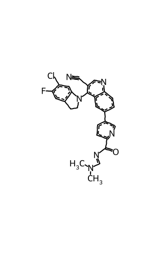 CN(C)/C=N/C(=O)c1ccc(-c2ccc3ncc(C#N)c(N4CCc5cc(F)c(Cl)cc54)c3c2)cn1